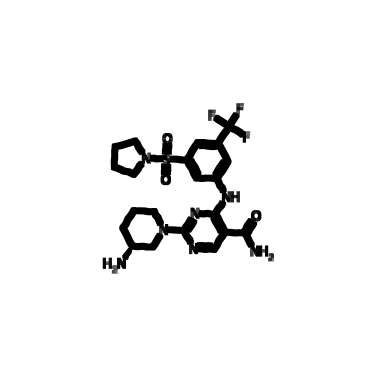 NC(=O)c1cnc(N2CCC[C@H](N)C2)nc1Nc1cc(C(F)(F)F)cc(S(=O)(=O)N2CCCC2)c1